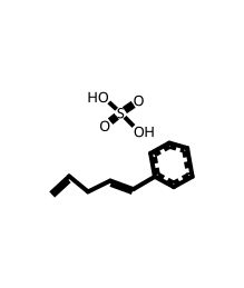 C=CCC=Cc1ccccc1.O=S(=O)(O)O